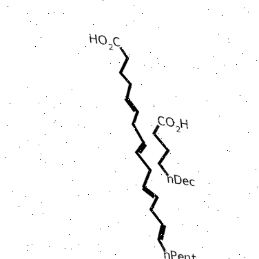 CCCCCC=CCC=CCC=CCC=CCCCC(=O)O.CCCCCCCCCCCCCC(=O)O